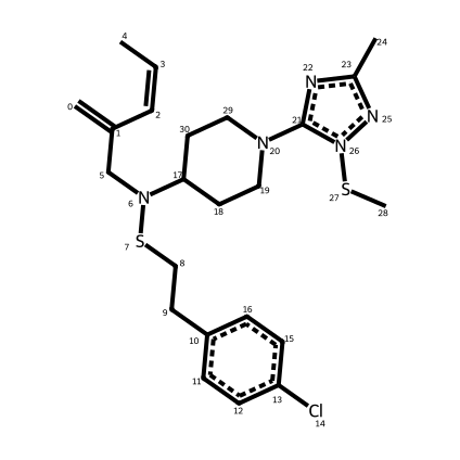 C=C(/C=C\C)CN(SCCc1ccc(Cl)cc1)C1CCN(c2nc(C)nn2SC)CC1